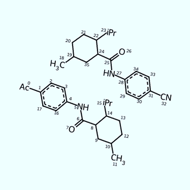 CC(=O)c1ccc(NC(=O)C2CC(C)CCC2C(C)C)cc1.CC1CCC(C(C)C)C(C(=O)Nc2ccc(C#N)cc2)C1